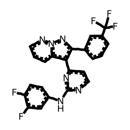 Fc1ccc(Nc2nccc(-c3c(-c4cccc(C(F)(F)F)c4)nn4ncccc34)n2)cc1F